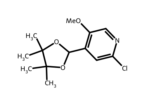 COc1cnc(Cl)cc1C1OC(C)(C)C(C)(C)O1